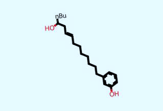 CCCCC(O)CC=CCCCCCCCc1cccc(O)c1